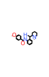 COc1ccc(C(=O)Nc2ccccc2C(C)C2CCCCN2C)cc1